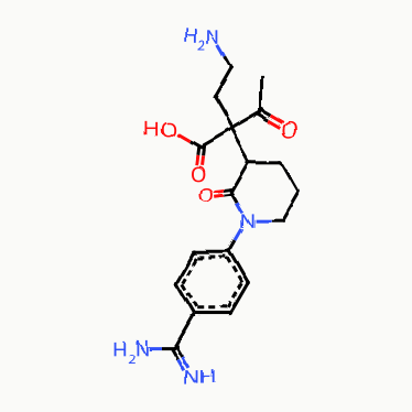 CC(=O)C(CCN)(C(=O)O)C1CCCN(c2ccc(C(=N)N)cc2)C1=O